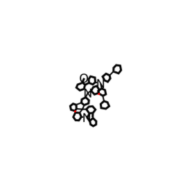 c1ccc(-c2ccc(N(c3ccc(-c4ccccc4)cc3)c3ccc4oc5cccc(N(c6ccccc6)c6ccc7c(c6)-c6ccccc6C76c7ccccc7-n7c8ccccc8c8cccc6c87)c5c4c3)cc2)cc1